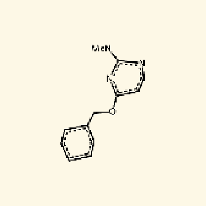 CNc1nccc(OCc2ccccc2)n1